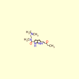 CCC(=O)/C=C/c1cc2cc(C(=O)N(C)CCN(C)C)[nH]c2[nH]1